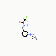 CNc1cccc(CNC(=O)C(F)(F)F)c1